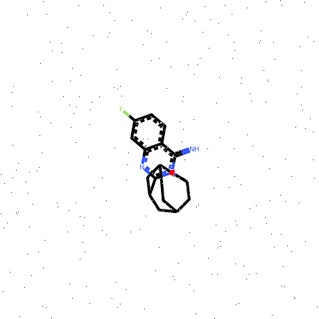 N=c1c2ccc(F)cc2nc2n1C1CC3CC(CC2C3)C1